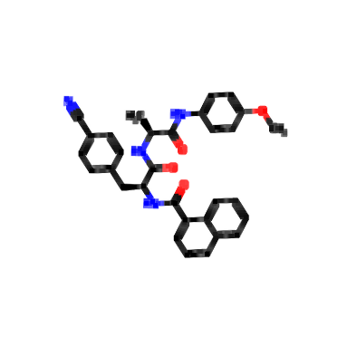 COc1ccc(NC(=O)[C@H](C)NC(=O)[C@H](Cc2ccc(C#N)cc2)NC(=O)c2cccc3ccccc23)cc1